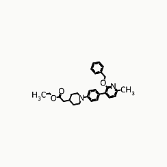 CCOC(=O)CC1CCN(c2ccc(-c3ccc(C)nc3OCc3ccccc3)cc2)CC1